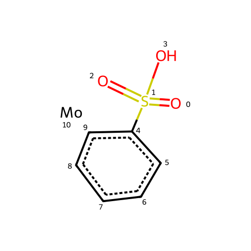 O=S(=O)(O)c1ccccc1.[Mo]